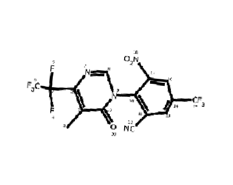 Cc1c(C(F)(F)C(F)(F)F)ncn(-c2c(C#N)cc(C(F)(F)F)cc2[N+](=O)[O-])c1=O